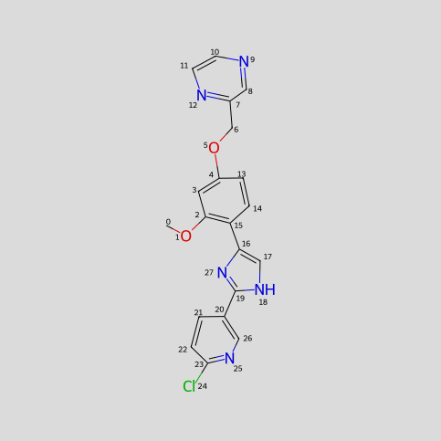 COc1cc(OCc2cnccn2)ccc1-c1c[nH]c(-c2ccc(Cl)nc2)n1